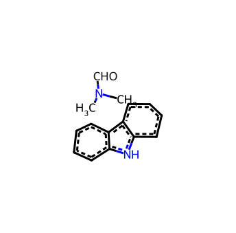 CN(C)C=O.c1ccc2c(c1)[nH]c1ccccc12